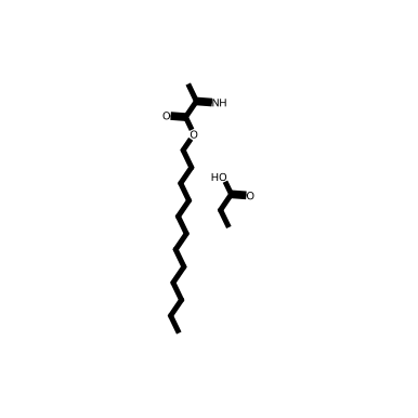 CCC(=O)O.CCCCCCCCCCCCOC(=O)C(C)=N